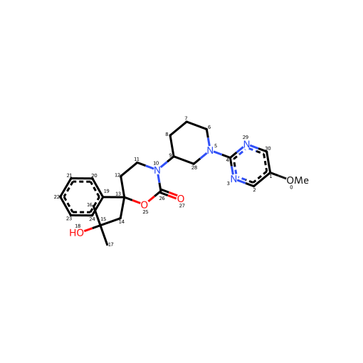 COc1cnc(N2CCCC(N3CCC(CC(C)(C)O)(c4ccccc4)OC3=O)C2)nc1